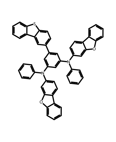 c1ccc(N(c2cc(-c3ccc4sc5ccccc5c4c3)cc(N(c3ccccc3)c3ccc4c(c3)oc3ccccc34)c2)c2ccc3c(c2)oc2ccccc23)cc1